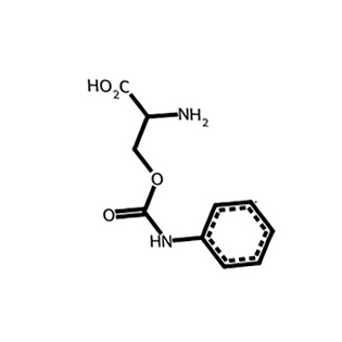 NC(COC(=O)Nc1c[c]ccc1)C(=O)O